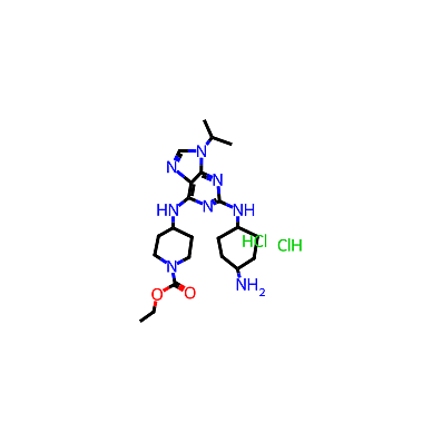 CCOC(=O)N1CCC(Nc2nc(NC3CCC(N)CC3)nc3c2ncn3C(C)C)CC1.Cl.Cl